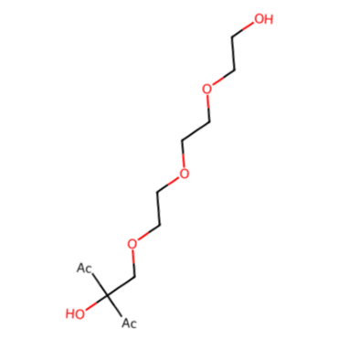 CC(=O)C(O)(COCCOCCOCCO)C(C)=O